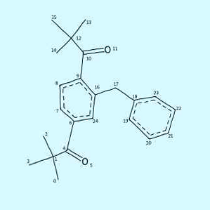 CC(C)(C)C(=O)c1ccc(C(=O)C(C)(C)C)c(Cc2ccccc2)c1